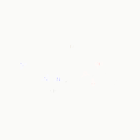 Cc1n(CCCOC(=O)C(O)c2ccccc2C2CCCC2)cc[n+]1Cc1ccncc1.[Br-]